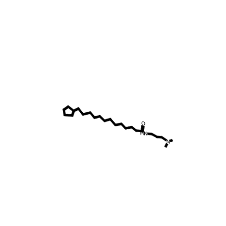 CN(C)CCCNC(=O)CCCCCCCCCCCCC1CCCC1